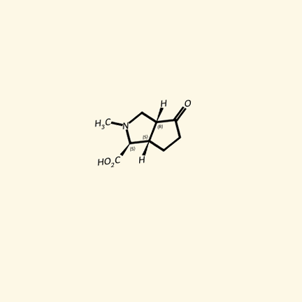 CN1C[C@@H]2C(=O)CC[C@@H]2[C@H]1C(=O)O